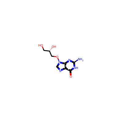 Nc1nc2c(ncn2OC[C@@H](O)CO)c(=O)[nH]1